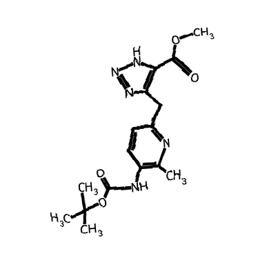 COC(=O)c1[nH]nnc1Cc1ccc(NC(=O)OC(C)(C)C)c(C)n1